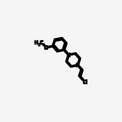 COc1cccc(N2CCN(C=CCl)CC2)c1